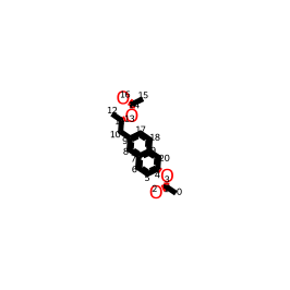 CC(=O)Oc1ccc2cc(CC(C)OC(C)=O)ccc2c1